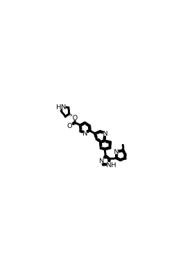 Cc1cccc(-c2[nH]cnc2-c2ccc3ncc(-c4ccc(C(=O)O[C@@H]5CCNC5)cn4)cc3c2)n1